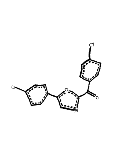 O=C(c1ccc(Cl)cc1)c1ncc(-c2ccc(Cl)cc2)o1